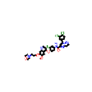 COc1cc2c(Oc3ccc(NC(=O)c4cc(-c5ccc(Cl)c(Cl)c5)n5nccc5n4)cc3F)ccnc2cc1OCCCN1CCOCC1